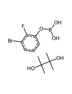 CC(C)(O)C(C)(C)O.OB(O)Oc1cccc(Br)c1F